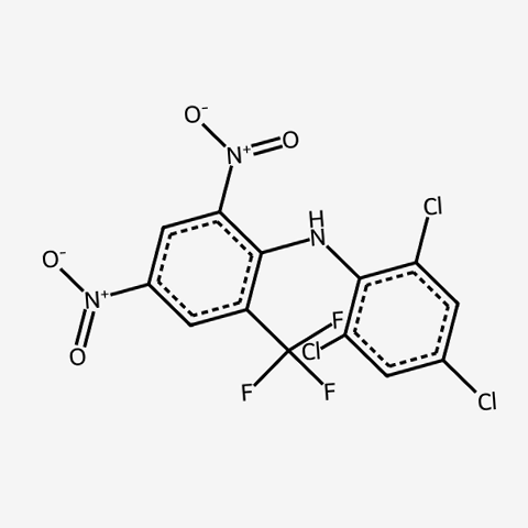 O=[N+]([O-])c1cc([N+](=O)[O-])c(Nc2c(Cl)cc(Cl)cc2Cl)c(C(F)(F)F)c1